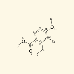 CCc1c(C(=O)OC)ccc(OC)c1C